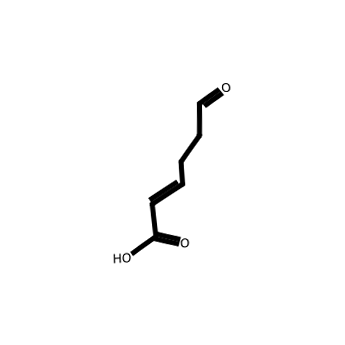 O=CCCC=CC(=O)O